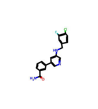 NC(=O)c1cccc(-c2cncc(NCc3ccc(Cl)c(F)c3)c2)c1